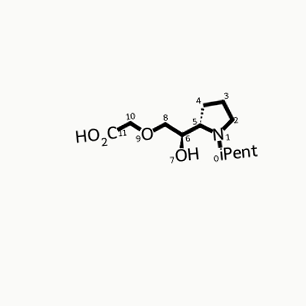 CCCC(C)N1CCC[C@H]1[C@@H](O)COCC(=O)O